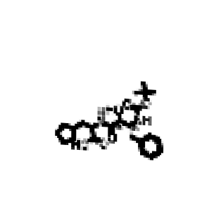 CC(C)(C)OC(=O)N[C@H](Cc1ccccc1)[C@H](O)C(=O)NC(CC1CCCC1)C(=O)O